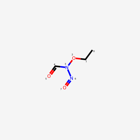 CCON(C=O)N=O